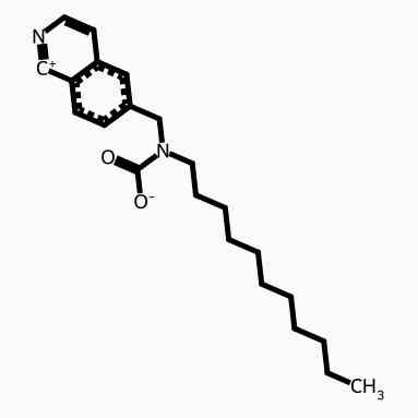 CCCCCCCCCCCN(Cc1ccc2c(c1)C=CN=[C+]2)C(=O)[O-]